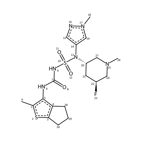 Cc1sc2c(c1NC(=O)NS(=O)(=O)N(c1cnn(C)c1)[C@H]1C[C@H](F)CN(C)C1)CCC2